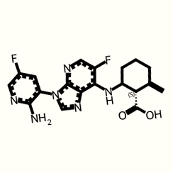 C=C1CCCC(Nc2c(F)cnc3c2ncn3-c2cc(F)cnc2N)[C@H]1C(=O)O